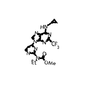 CCN(C(=O)OC)c1nccc(-n2cnc3c(NC4CC4)nc(C(F)(F)F)nc32)n1